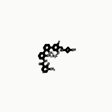 COc1cc(-c2cccc(-c3cccc(NC(=O)c4cncn(C)c4=O)c3C)c2C)cc(F)c1CNC1CC(O)C1